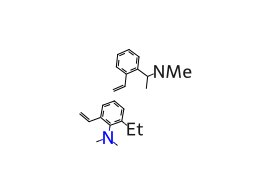 C=Cc1cccc(CC)c1N(C)C.C=Cc1ccccc1C(C)NC